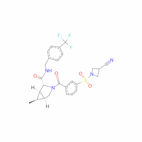 C[C@@H]1[C@@H]2CN(C(=O)c3cccc(S(=O)(=O)N4CC(C#N)C4)c3)[C@@H](C(=O)NCc3ccc(C(F)(F)F)cc3)[C@H]12